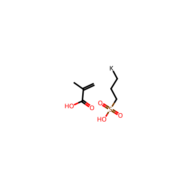 C=C(C)C(=O)O.O=S(=O)(O)CC[CH2][K]